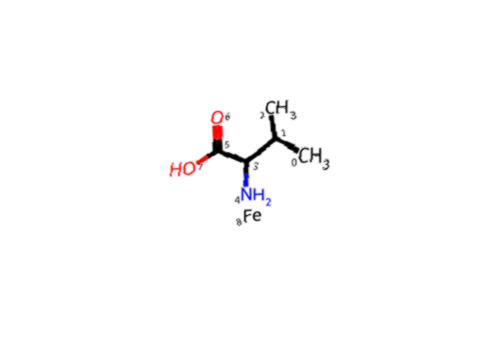 CC(C)C(N)C(=O)O.[Fe]